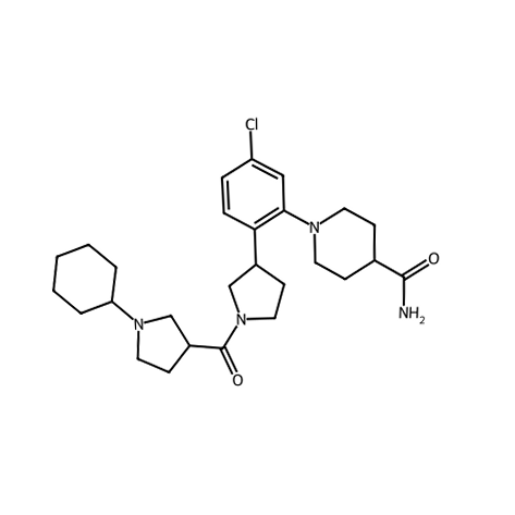 NC(=O)C1CCN(c2cc(Cl)ccc2C2CCN(C(=O)C3CCN(C4CCCCC4)C3)C2)CC1